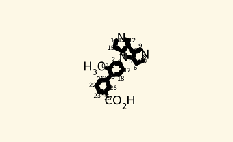 Cc1cc(-n2c3ccncc3c3cnccc32)ccc1-c1cccc(C(=O)O)c1